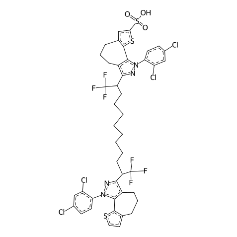 O=S(=O)(O)c1cc2c(s1)-c1c(c(C(CCCCCCCCC(c3nn(-c4ccc(Cl)cc4Cl)c4c3CCCc3ccsc3-4)C(F)(F)F)C(F)(F)F)nn1-c1ccc(Cl)cc1Cl)CCC2